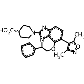 Cc1noc(C)c1-c1ccc2nc(N3CCN(C(=O)O)CC3)n3c2c1OCC3c1ccccc1